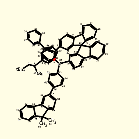 CC(C)(C)CC(c1ccc(-c2ccc3c(c2)C2(c4ccccc4-3)c3ccccc3-c3ccc(N(c4ccc(-c5ccccc5)cc4)c4ccc(-c5ccc6c(c5)-c5ccccc5C6(C)C)cc4)cc32)cc1)C(C)(C)C